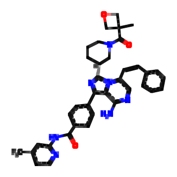 CC1(C(=O)N2CCC[C@@H](c3nc(-c4ccc(C(=O)Nc5cc(C(F)(F)F)ccn5)cc4)c4c(N)ncc(C=Cc5ccccc5)n34)C2)COC1